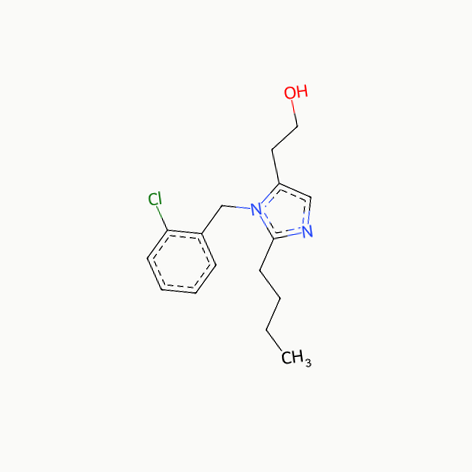 CCCCc1ncc(CCO)n1Cc1ccccc1Cl